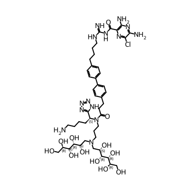 N=C(NCCCCc1ccc(-c2ccc(CCC(=O)N(CCCN(C[C@H](O)[C@@H](O)[C@H](O)[C@H](O)CO)C[C@H](O)[C@@H](O)[C@H](O)[C@H](O)CO)[C@@H](CCCCN)c3nnn[nH]3)cc2)cc1)NC(=O)c1nc(Cl)c(N)nc1N